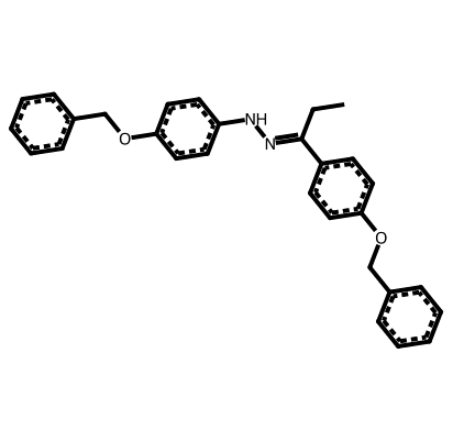 CC/C(=N\Nc1ccc(OCc2ccccc2)cc1)c1ccc(OCc2ccccc2)cc1